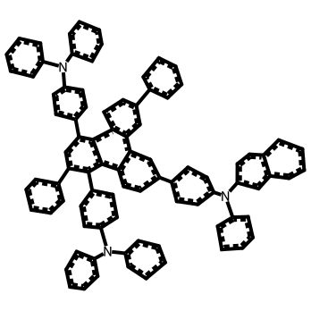 c1ccc(-c2ccc3c(c2)c2cc(-c4ccc(N(c5ccccc5)c5ccc6ccccc6c5)cc4)ccc2c2c(-c4ccc(N(c5ccccc5)c5ccccc5)cc4)c(-c4ccccc4)cc(-c4ccc(N(c5ccccc5)c5ccccc5)cc4)c32)cc1